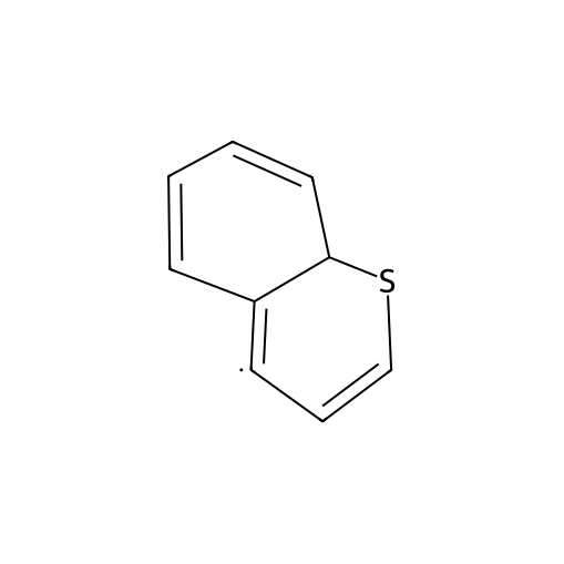 [C]1=C2C=CC=CC2SC=C1